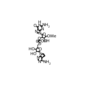 CO[C@H]1O[C@@H](n2cnc3c(=O)[nH]c(N)nc32)C(OP(=O)(O)OC[C@H]2O[C@@H](n3ccc4c(N)ncnc43)C(O)C2O)C1O